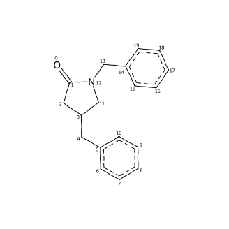 O=C1CC(Cc2ccccc2)CN1Cc1ccccc1